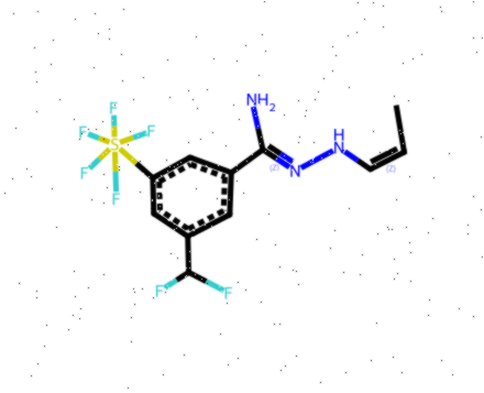 C/C=C\N/N=C(\N)c1cc(C(F)F)cc(S(F)(F)(F)(F)F)c1